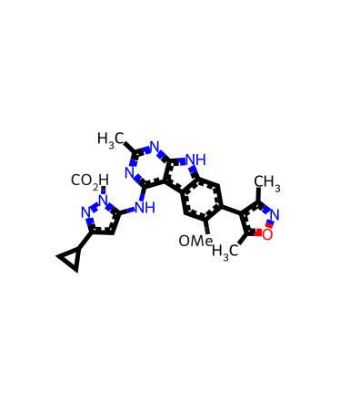 COc1cc2c(cc1-c1c(C)noc1C)[nH]c1nc(C)nc(Nc3cc(C4CC4)nn3C(=O)O)c12